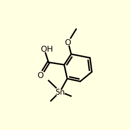 COc1ccc[c]([Sn]([CH3])([CH3])[CH3])c1C(=O)O